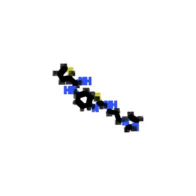 N=C(Nc1ccc2nc(NCCCn3ccnc3)sc2c1)c1cccs1